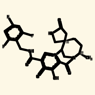 C[C@H]1CC[C@@]2(CNC(=O)C2)C2CN1C(=O)c1c(O)c(=O)c(C(=O)NCc3c(F)cc(F)cc3F)cn12